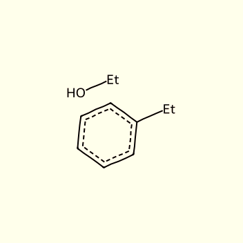 CCO.CCc1ccccc1